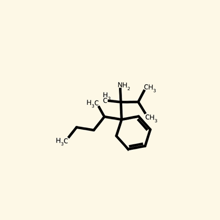 CCCC(C)C1(C(C)(N)C(C)C)C=CC=[C]C1